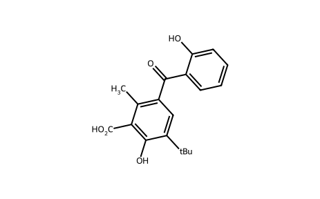 Cc1c(C(=O)c2ccccc2O)cc(C(C)(C)C)c(O)c1C(=O)O